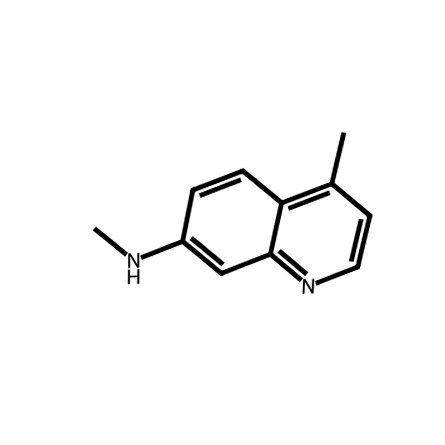 CNc1ccc2c(C)ccnc2c1